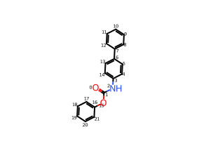 O=C(Nc1ccc(-c2ccccc2)cc1)Oc1ccccc1